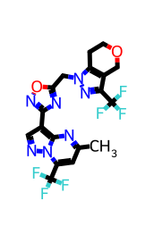 Cc1cc(C(F)(F)F)n2ncc(-c3noc(Cn4nc(C(F)(F)F)c5c4CCOC5)n3)c2n1